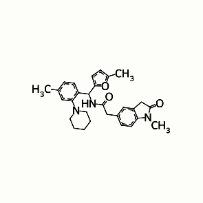 Cc1ccc(C(NC(=O)Cc2ccc3c(c2)CC(=O)N3C)c2ccc(C)o2)c(N2CCCCC2)c1